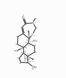 CN1CC[C@@]2(C)C(=CC1=O)CC[C@@H]1[C@@H]2CC[C@]2(C)C(O)CC[C@@H]12